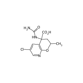 CC1CC(NC(N)=O)(C(=O)O)c2cc(Cl)cnc2O1